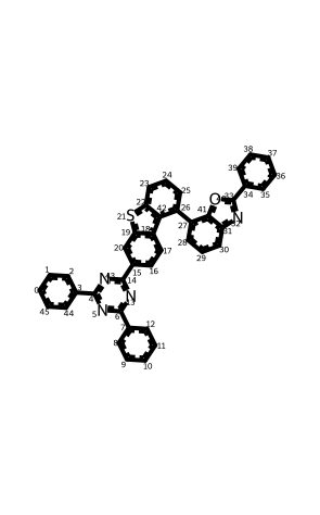 c1ccc(-c2nc(-c3ccccc3)nc(-c3ccc4c(c3)sc3cccc(-c5cccc6nc(-c7ccccc7)oc56)c34)n2)cc1